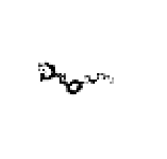 CCOc1cccc(C=Nc2ccncc2)c1